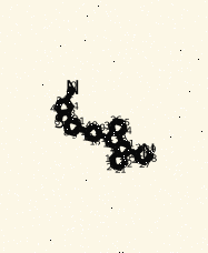 N#Cc1ccc2sc3ccc(-c4ccc(-c5cc6c7ccccc7c(-c7cccnc7)cc6c6ccccc56)cc4)cc3c2c1